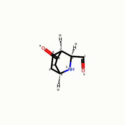 O=C[C@H]1N[C@H]2CC[C@@H]1C(=O)C2